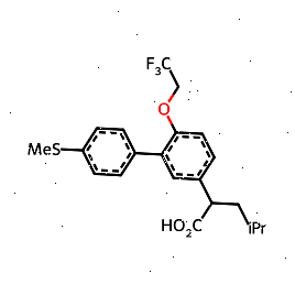 CSc1ccc(-c2cc(C(CC(C)C)C(=O)O)ccc2OCC(F)(F)F)cc1